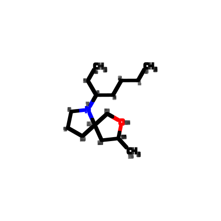 CCCCC(CC)N1CCCC12COC(C)C2